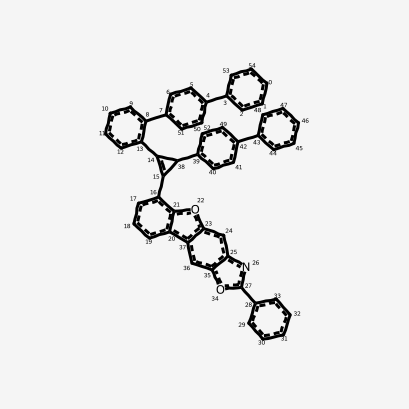 c1ccc(-c2ccc(-c3ccccc3C3=C(c4cccc5c4oc4cc6nc(-c7ccccc7)oc6cc45)C3c3ccc(-c4ccccc4)cc3)cc2)cc1